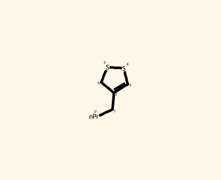 CCCCC1=CSSC1